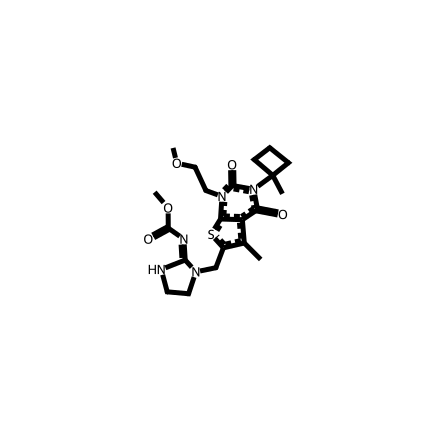 COCCn1c(=O)n(C2(C)CCC2)c(=O)c2c(C)c(CN3CCNC3=NC(=O)OC)sc21